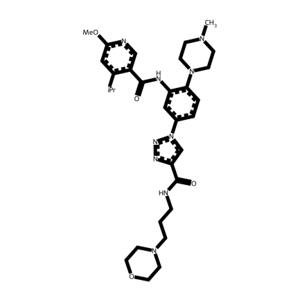 COc1cc(C(C)C)c(C(=O)Nc2cc(-n3cc(C(=O)NCCCN4CCOCC4)nn3)ccc2N2CCN(C)CC2)cn1